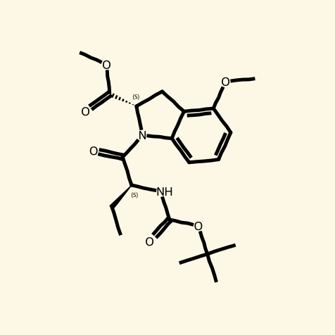 CC[C@H](NC(=O)OC(C)(C)C)C(=O)N1c2cccc(OC)c2C[C@H]1C(=O)OC